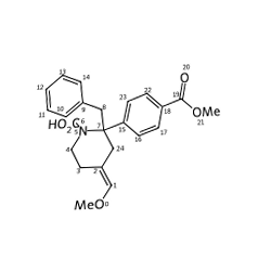 COC=C1CCN(C(=O)O)C(Cc2ccccc2)(c2ccc(C(=O)OC)cc2)C1